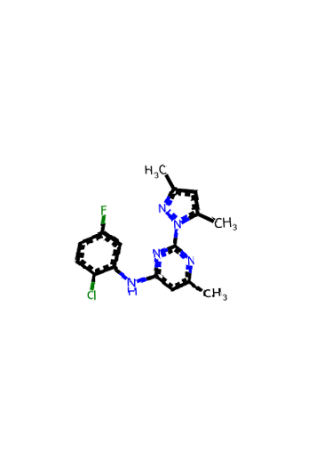 Cc1cc(Nc2cc(F)ccc2Cl)nc(-n2nc(C)cc2C)n1